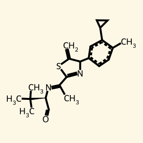 C=C1SC(/C(C)=N/[C@@H](C=O)C(C)(C)C)=NC1c1ccc(C)c(C2CC2)c1